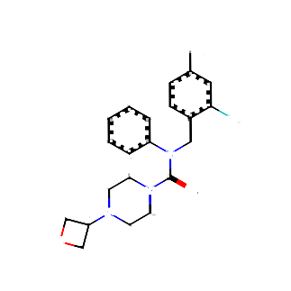 O=C(O)c1ccc(CN(C(=O)N2CCN(C3COC3)CC2)c2ccccc2)c(F)c1